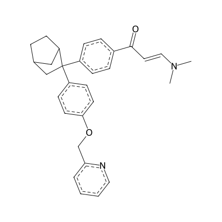 CN(C)C=CC(=O)c1ccc(C2(c3ccc(OCc4ccccn4)cc3)CC3CCC2C3)cc1